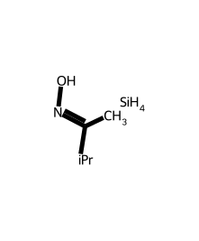 CC(=NO)C(C)C.[SiH4]